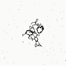 CNC(=O)c1cc2c(c(F)c1-c1c(Cl)c(F)cc3c1C[C@](c1ccccc1)([C@@H]1CCC(=O)N1)O3)OC1CC21